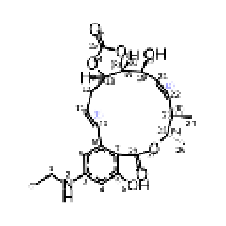 CCNc1cc(O)c2c(c1)/C=C/C[C@@H]1OC(=O)O[C@@H]1C(O)/C=C\[C@@H](C)[C@H](C)OC2=O